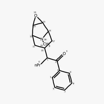 CCCC(C(=O)c1ccccc1)C1CC2C3OC3C(C1)N2C